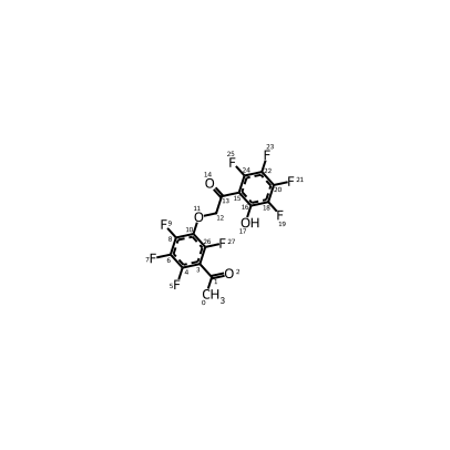 CC(=O)c1c(F)c(F)c(F)c(OCC(=O)c2c(O)c(F)c(F)c(F)c2F)c1F